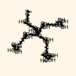 CC(=O)NC1[C@H](OCCCCCCOP(=O)(O)OCCCOCC(COCCCOP(=O)(O)OCCCCCCO[C@@H]2OC(CO)[C@H](O)[C@H](O)C2C)(COCCCOP(=O)(O)OCCCCCCO[C@@H]2OC(CO)[C@H](O)[C@H](O)C2C)COP(=O)(O)OCCCOCC(CO)COCCCOC(C)C)OC(CO)[C@H](O)[C@@H]1O